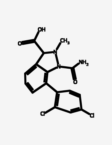 CN1C(C(=O)O)c2cccc(-c3ccc(Cl)cc3Cl)c2N1C(N)=O